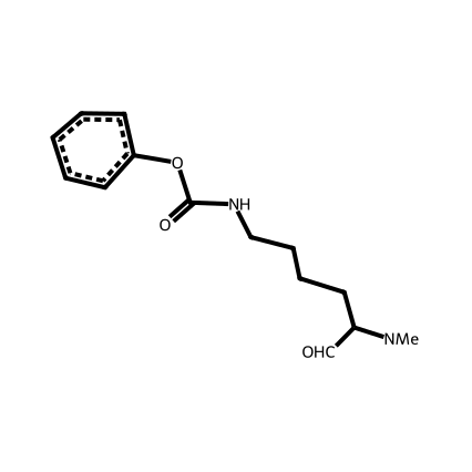 CNC(C=O)CCCCNC(=O)Oc1ccccc1